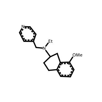 CCN(Cc1ccncc1)C1CCc2cccc(OC)c2C1